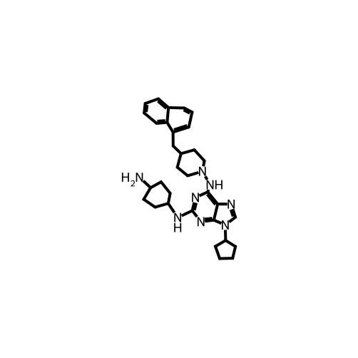 NC1CCC(Nc2nc(NN3CCC(Cc4cccc5ccccc45)CC3)c3ncn(C4CCCC4)c3n2)CC1